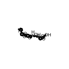 Cc1cccc(-c2cccc(S(=O)(=O)N3CCC4(CC3)C[C@@H](NC[C@H](O)COc3cccc(S(=O)(=O)CCO)c3)CO4)c2)n1